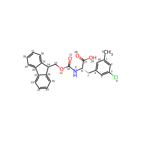 Cc1cc(Cl)cc(C[C@H](NC(=O)OCC2c3ccccc3-c3ccccc32)C(=O)O)c1